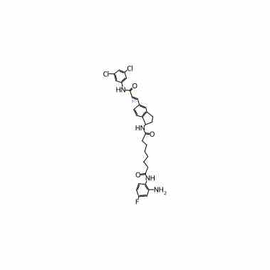 Nc1cc(F)ccc1NC(=O)CCCCCCC(=O)NC1CCc2cc(/C=C/C(=O)Nc3cc(Cl)cc(Cl)c3)ccc21